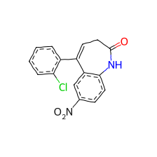 O=C1CC=C(c2ccccc2Cl)c2cc([N+](=O)[O-])ccc2N1